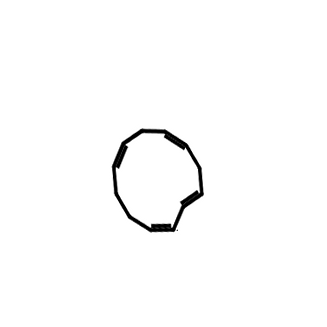 [C]1=C\CC/C=C\C/C=C\C/C=C/1